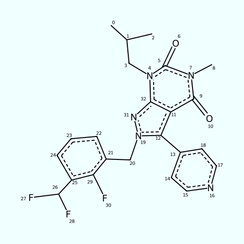 CC(C)Cn1c(=O)n(C)c(=O)c2c(-c3ccncc3)n(Cc3cccc(C(F)F)c3F)nc21